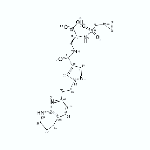 O=C(NC[C@H](NS(=O)(=O)CC1CC1)C(=O)O)c1cnn(CCc2ccc3c(n2)NCCC3)c1